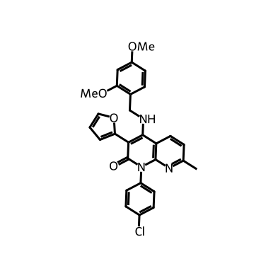 COc1ccc(CNc2c(-c3ccco3)c(=O)n(-c3ccc(Cl)cc3)c3nc(C)ccc23)c(OC)c1